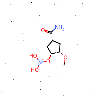 CO[C@H]1C[C@@H](C(N)=O)C[C@@H]1ON(O)O